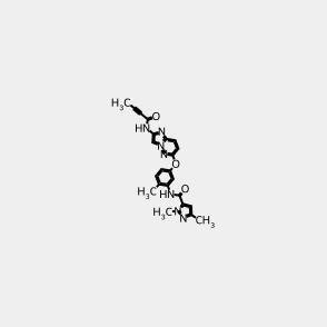 CC#CC(=O)Nc1cn2nc(Oc3ccc(C)c(NC(=O)c4cc(C)nn4C)c3)ccc2n1